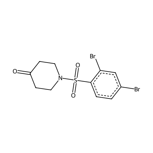 O=C1CCN(S(=O)(=O)c2ccc(Br)cc2Br)CC1